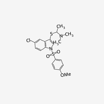 COc1ccc(S(=O)(=O)n2cc(SC(C)N(C)C)c3cc(Cl)ccc32)cc1